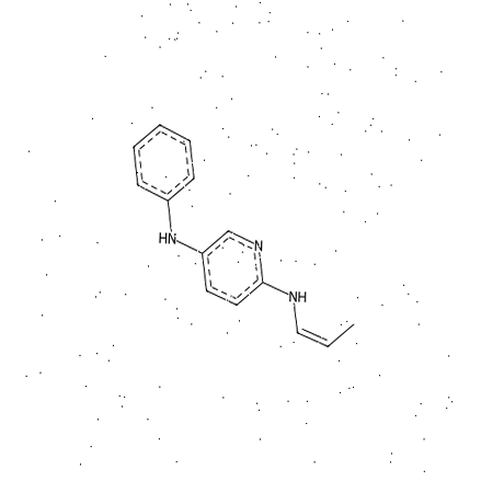 C/C=C\Nc1ccc(Nc2ccccc2)cn1